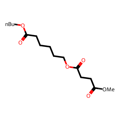 CCCCOC(=O)CCCCCOC(=O)CCC(=O)OC